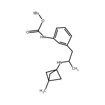 CC(Cc1cccc(NC(=O)OC(C)(C)C)c1)NC12CC(C)(C1)C2